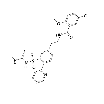 CNC(=S)NS(=O)(=O)c1cc(CCNC(=O)c2cc(Cl)ccc2OC)ccc1-c1ccccn1